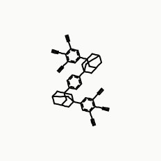 C#Cc1cc(C23CC4CC(CC(c5ccc(C67CC8CC(C6)CC(c6cc(C#C)c(C#C)c(C#C)c6)(C8)C7)cc5)(C4)C2)C3)cc(C#C)c1C#C